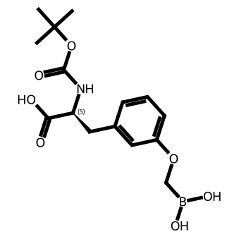 CC(C)(C)OC(=O)N[C@@H](Cc1cccc(OCB(O)O)c1)C(=O)O